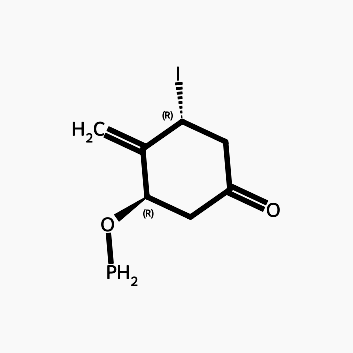 C=C1[C@H](I)CC(=O)C[C@H]1OP